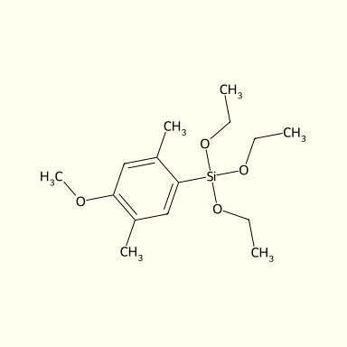 CCO[Si](OCC)(OCC)c1cc(C)c(OC)cc1C